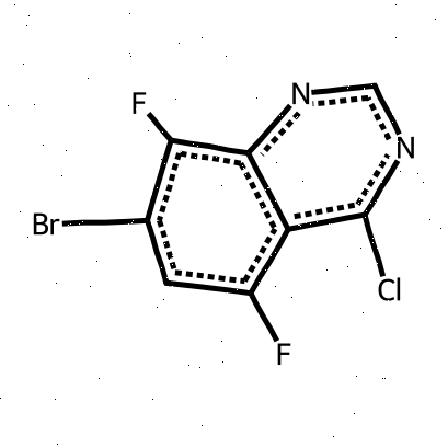 Fc1c(Br)cc(F)c2c(Cl)ncnc12